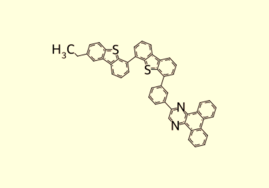 CCc1ccc2sc3c(-c4cccc5c4sc4c(-c6cccc(-c7cnc8c9ccccc9c9ccccc9c8n7)c6)cccc45)cccc3c2c1